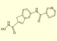 O=C(NO)C1=Cc2cc(NC(=O)c3cccnc3)ccc2C1